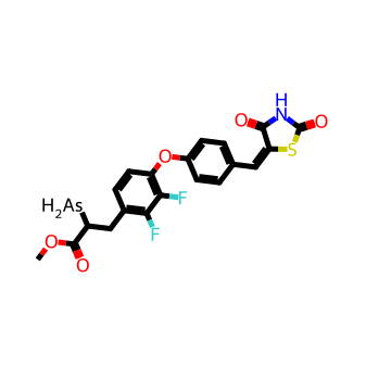 COC(=O)C([AsH2])Cc1ccc(Oc2ccc(/C=C3/SC(=O)NC3=O)cc2)c(F)c1F